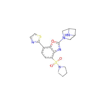 O=S(=O)(c1ccc(-c2nccs2)c2oc(N3CC4CC(C3)N4)nc12)N1CCCC1